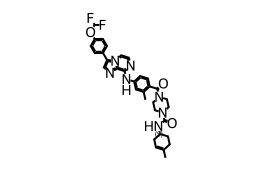 CC1=CC[C@@H](NC(=O)N2CCN(C(=O)c3ccc(Nc4nccn5c(-c6ccc(OC(F)F)cc6)cnc45)cc3C)CC2)CC1